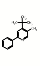 Cc1cnc(-c2ccccc2)cc1C(C)(C)C